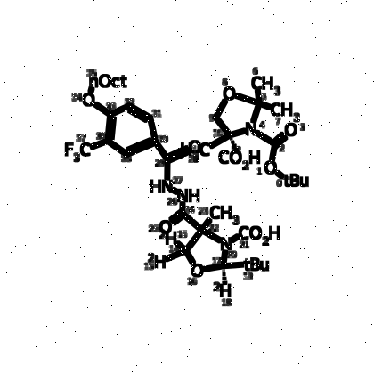 CC(C)(C)OC(=O)N1C(C)(C)OC[C@@]1(C)C(=O)O.[2H]C1([2H])O[C@]([2H])(C(C)(C)C)N(C(=O)O)C1(C)C(=O)NNC(=O)c1ccc(OCCCCCCCC)c(C(F)(F)F)c1